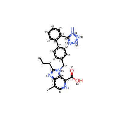 CCCc1nc2c(C)cnc(C(=O)O)c2n1Cc1ccc(-c2ccccc2-c2nnn[nH]2)cc1